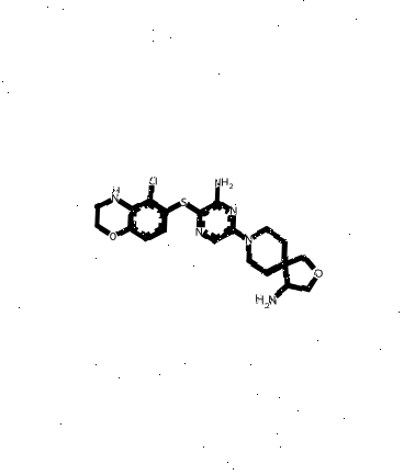 Nc1nc(N2CCC3(CC2)COCC3N)cnc1Sc1ccc2c(c1Cl)NCCO2